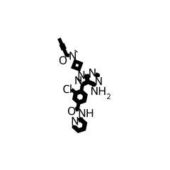 CC#CC(=O)N(C)[C@H]1C[C@@H](n2nc(-c3ccc(C(=O)Nc4ccccn4)cc3Cl)c3c(N)ncnc32)C1